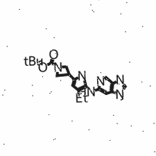 CCc1cc(C2CN(C(=O)OC(C)(C)C)C2)ncc1Nc1cc2c(cn1)ncn2C